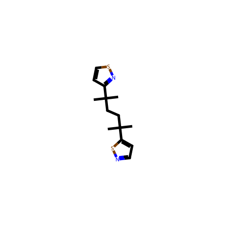 CC(C)(CCC(C)(C)c1ccns1)c1ccsn1